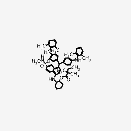 CCC(C)(C)C(=O)OC1CCCCC1Nc1ccc(C(c2ccc(Nc3c(C)cccc3C)cc2)c2ccc(Nc3c(C)cccc3C)cc2)c2cc(S(=O)(=O)NC)ccc12